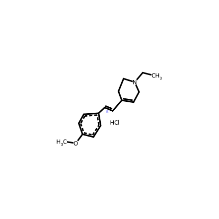 CCN1CC=C(/C=C/c2ccc(OC)cc2)CC1.Cl